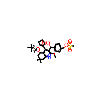 CC(C)c1nc2c(c(C3=CCCC3)c1[C@H](O)c1ccc(COS(C)(=O)=O)cc1)[C@@H](O[Si](C)(C)C(C)(C)C)CC(C)(C)C2